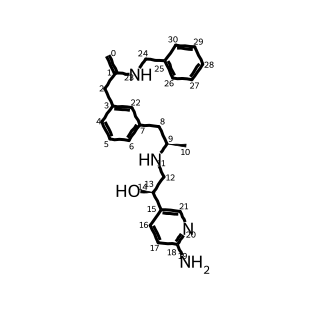 C=C(Cc1cccc(C[C@@H](C)NC[C@H](O)c2ccc(N)nc2)c1)NCc1ccccc1